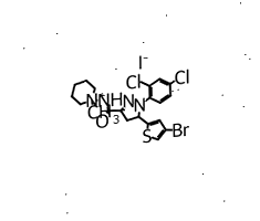 C[N+]1(NC(=O)C2=NN(c3ccc(Cl)cc3Cl)C(c3cc(Br)cs3)C2)CCCCC1.[I-]